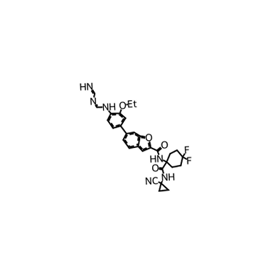 CCOc1cc(-c2ccc3cc(C(=O)NC4(C(=O)NC5(C#N)CC5)CCC(F)(F)CC4)oc3c2)ccc1N/C=N\C=N